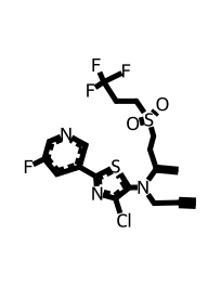 C#CCN(C(=C)CCS(=O)(=O)CCC(F)(F)F)c1sc(-c2cncc(F)c2)nc1Cl